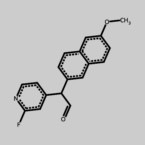 COc1ccc2cc(C(C=O)c3ccnc(F)c3)ccc2c1